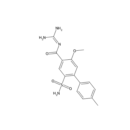 COc1cc(-c2ccc(C)cc2)c(S(N)(=O)=O)cc1C(=O)N=C(N)N